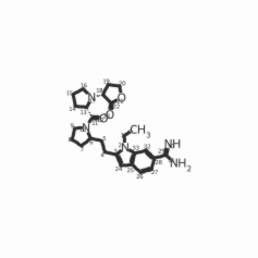 CCn1c(CCC2CCCN2C(=O)[C@@H]2CCCN2[C@@H]2CCOC2=O)cc2ccc(C(=N)N)cc21